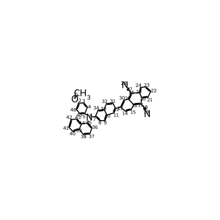 COc1ccc(N(c2ccc3cc(-c4ccc5c(C#N)c6ccccc6c(C#N)c5c4)ccc3c2)c2cccc3ccccc23)cc1